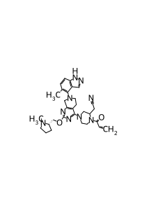 C=CC(=O)N1CCN(c2nc(OC[C@@H]3CCCN3C)nc3c2CCN(c2c(C)ccc4[nH]ncc24)C3)CC1CC#N